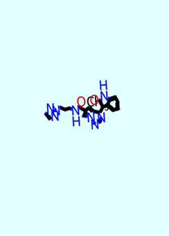 Cc1c(C(=O)NCCCn2nccn2)cn2ncnc(C3C(=O)Nc4ccccc43)c12